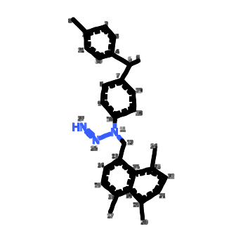 Cc1ccc(C(C)c2ccc(N(Cc3ccc(C)c4c(C)ccc(C)c34)N=N)cc2)cc1